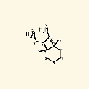 CC1(C)CCCCC1(C)C(CN)CN